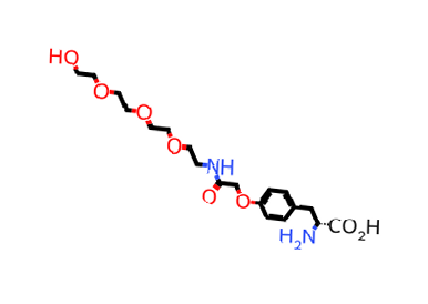 N[C@H](Cc1ccc(OCC(=O)NCCOCCOCCOCCO)cc1)C(=O)O